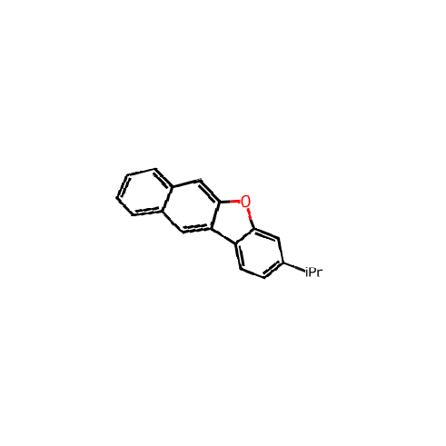 CC(C)c1ccc2c(c1)oc1cc3ccccc3cc12